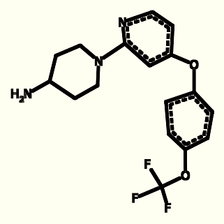 NC1CCN(c2cc(Oc3ccc(OC(F)(F)F)cc3)ccn2)CC1